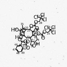 CC(=O)O[C@@]12CO[C@@H]1C[C@H](OC(=O)OCC(Cl)(Cl)Cl)[C@@]1(C)C(=O)[C@H](OC(=O)OCC(Cl)(Cl)Cl)C3=C(C)[C@@H](O)C[C@@](O)([C@@H](OC(=O)c4ccccc4)C12)C3(C)C